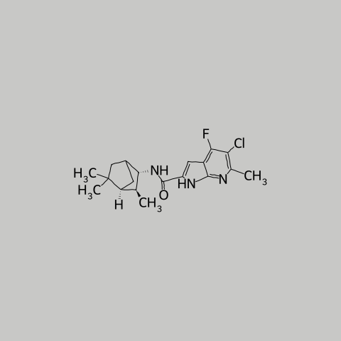 Cc1nc2[nH]c(C(=O)N[C@H]3C4C[C@@H]([C@@H]3C)C(C)(C)C4)cc2c(F)c1Cl